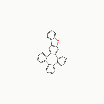 c1ccc2c(c1)-c1ccccc1-c1cc3oc4ccccc4c3cc1-c1ccccc1-2